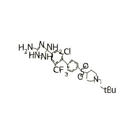 CC(C)(C)CCN1CCC(S(=O)(=O)c2ccc(-c3c(Cl)cc(C4(N)N=C(N)NN4)cc3C(F)(F)F)cc2)CC1